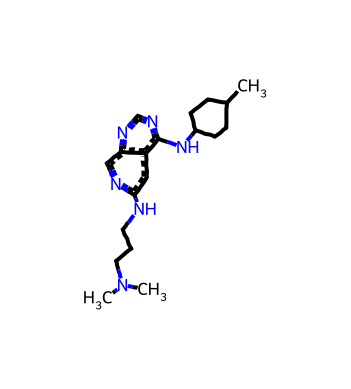 CC1CCC(Nc2ncnc3cnc(NCCCN(C)C)cc23)CC1